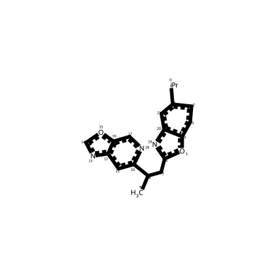 CC(C)c1ccc2oc(CC(C)c3cc4ncoc4cn3)nc2c1